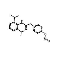 CC(C)c1cccc(C(C)C)c1NC(=O)Cc1ccc(OP=O)cc1